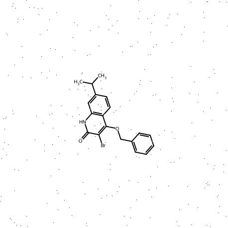 CC(C)c1ccc2c(OCc3ccccc3)c(Br)c(=O)[nH]c2c1